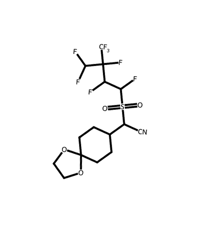 N#CC(C1CCC2(CC1)OCCO2)S(=O)(=O)C(F)C(F)C(F)(C(F)F)C(F)(F)F